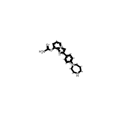 NC(=O)Oc1cccn2cc(-c3ccc(N4CCCNCC4)cc3)nc12